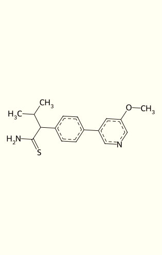 COc1cncc(-c2ccc(C(C(N)=S)C(C)C)cc2)c1